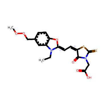 CCN1/C(=C/C=C2/SC(=S)N(CC(=O)O)C2=O)Oc2ccc(COOC)cc21